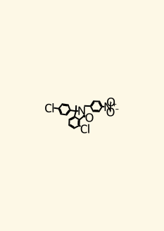 CC1(c2ccc(Cl)cc2)c2cccc(Cl)c2C(=O)N1Cc1ccc([N+](=O)[O-])cc1